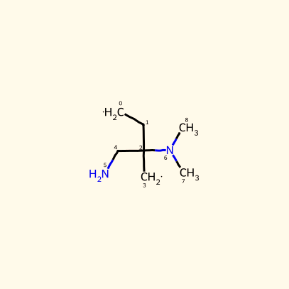 [CH2]CC([CH2])(CN)N(C)C